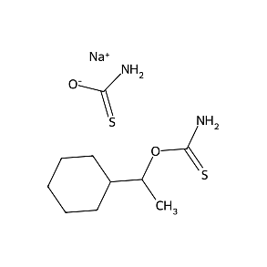 CC(OC(N)=S)C1CCCCC1.NC([O-])=S.[Na+]